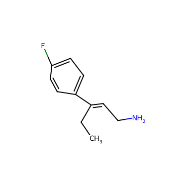 CCC(=CCN)c1ccc(F)cc1